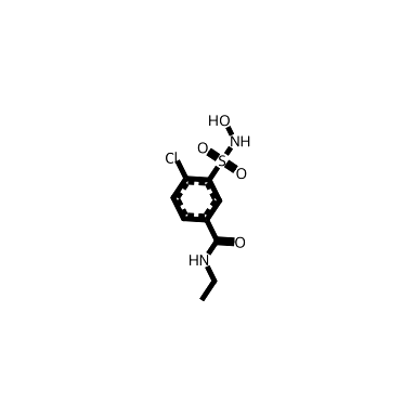 CCNC(=O)c1ccc(Cl)c(S(=O)(=O)NO)c1